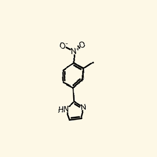 Cc1cc(-c2ncc[nH]2)ccc1[N+](=O)[O-]